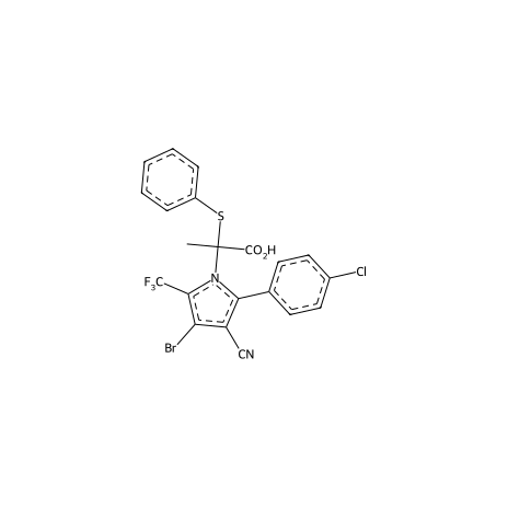 CC(Sc1ccccc1)(C(=O)O)n1c(-c2ccc(Cl)cc2)c(C#N)c(Br)c1C(F)(F)F